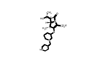 C[C@@H](O)[C@H]1C(=O)N2C(C(=O)O)=C(SC3CCCN(CC4CCNCC4)C3)[C@H](C)[C@H]12